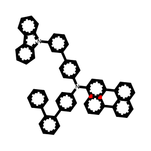 c1ccc(-c2ccccc2-c2ccc(N(c3ccc(-c4cccc(-n5c6ccccc6c6ccccc65)c4)cc3)c3ccc(-c4cccc5cccc(-c6ccccc6)c45)cc3)cc2)cc1